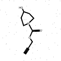 C#CCOC(=O)N1CCC(O)CC1